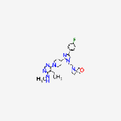 CCc1c(NC)ncnc1N1CCC(c2nc(-c3ccc(F)cc3)cn2CCN2CCC23COC3)CC1